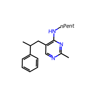 CCCCCNc1nc(C)ncc1CC(C)c1ccccc1